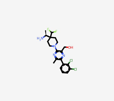 Cc1nc(N2CCC(C(F)F)([C@H](C)N)CC2)c(CO)nc1-c1cccc(Cl)c1Cl